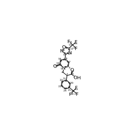 O=C(O)C(Cn1ccc(-c2noc(C(F)(F)F)n2)cc1=O)c1cccc(C(F)(F)F)c1